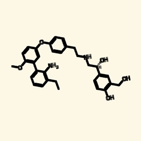 CCc1cccc(-c2cc(Oc3ccc(CCNC[C@H](O)c4ccc(O)c(CO)c4)cc3)ccc2OC)c1N